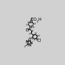 Cc1nnn(Cc2cc(Cl)ccc2/C=C/C(=O)N2CCN(C(=O)O)CC2)n1